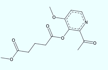 COC(=O)CCCC(=O)Oc1c(OC)ccnc1C(C)=O